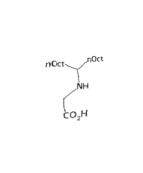 CCCCCCCCC(CCCCCCCC)NCC(=O)O